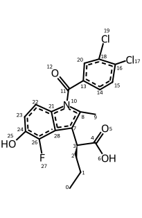 CCC[C@H](C(=O)O)c1c(C)n(C(=O)c2ccc(Cl)c(Cl)c2)c2ccc(O)c(F)c12